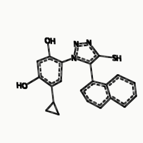 Oc1cc(O)c(-n2nnc(S)c2-c2cccc3ccccc23)cc1C1CC1